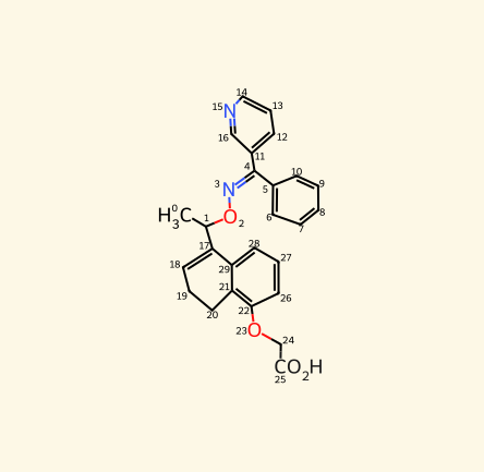 CC(O/N=C(\c1ccccc1)c1cccnc1)C1=CCCc2c(OCC(=O)O)cccc21